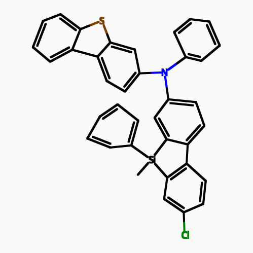 C[Si]1(c2ccccc2)c2cc(Cl)ccc2-c2ccc(N(c3ccccc3)c3ccc4c(c3)sc3ccccc34)cc21